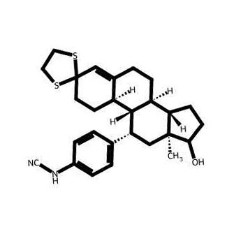 C[C@]12C[C@H](c3ccc(NC#N)cc3)[C@H]3[C@@H](CCC4=CC5(CC[C@@H]43)SCCS5)[C@@H]1CCC2O